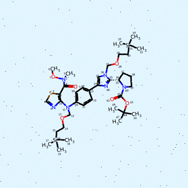 CON(C)C(=O)c1scnc1N(COCC[Si](C)(C)C)c1ccc(-c2cn(COCC[Si](C)(C)C)c([C@@H]3CCCN3C(=O)OC(C)(C)C)n2)cc1